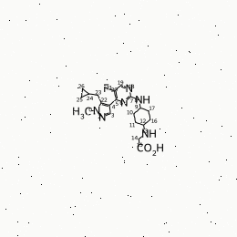 Cn1ncc(-c2nc(NC3CCC(NCC(=O)O)CC3)ncc2F)c1CC1CC1